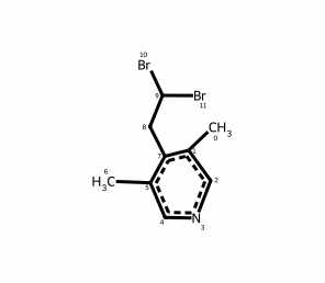 Cc1cncc(C)c1CC(Br)Br